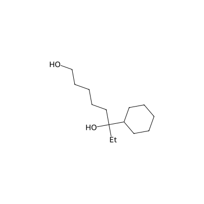 CCC(O)(CCCCCO)C1CCCCC1